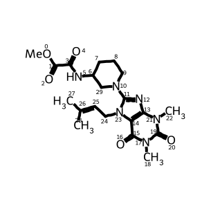 COC(=O)C(=O)NC1CCCN(c2nc3c(c(=O)n(C)c(=O)n3C)n2CC=C(C)C)C1